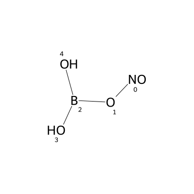 O=NOB(O)O